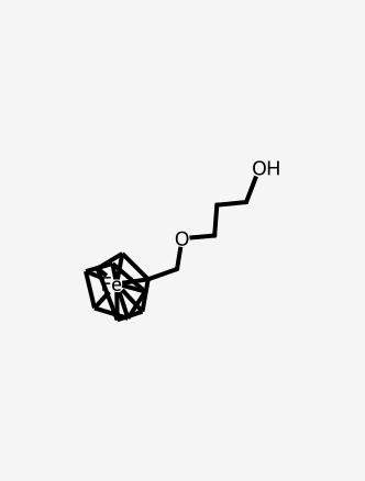 OCCCOC[C]12[CH]3[CH]4[CH]5[CH]1[Fe]45321678[CH]2[CH]1[CH]6[CH]7[CH]28